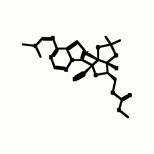 COC(=O)OC[C@H]1O[C@@](C#N)(c2ccc3c(/N=C\N(C)C)ncnn23)[C@@H]2OC(C)(C)O[C@@H]21